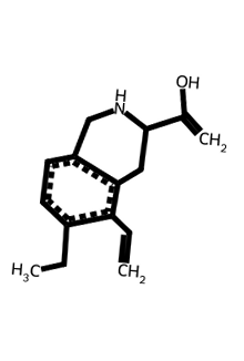 C=Cc1c(CC)ccc2c1CC(C(=C)O)NC2